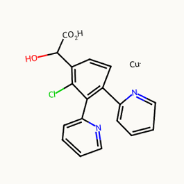 O=C(O)C(O)c1ccc(-c2ccccn2)c(-c2ccccn2)c1Cl.[Cu]